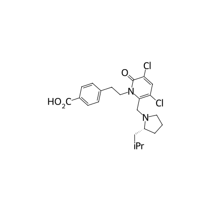 CC(C)C[C@H]1CCCN1Cc1c(Cl)cc(Cl)c(=O)n1CCc1ccc(C(=O)O)cc1